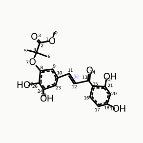 COC(=O)C(C)(C)Oc1cc(/C=C/C(=O)c2ccc(O)cc2O)cc(O)c1O